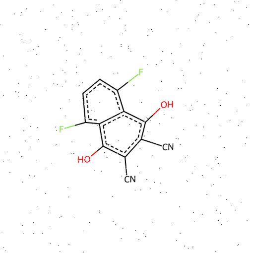 N#Cc1c(C#N)c(O)c2c(F)ccc(F)c2c1O